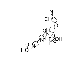 N#Cc1ccc(OC2CCC(NC(=O)c3ccc(C4CCN(CC(=O)O)CC4)nn3)CC2)cc1Cl.O=C(O)C(F)(F)F